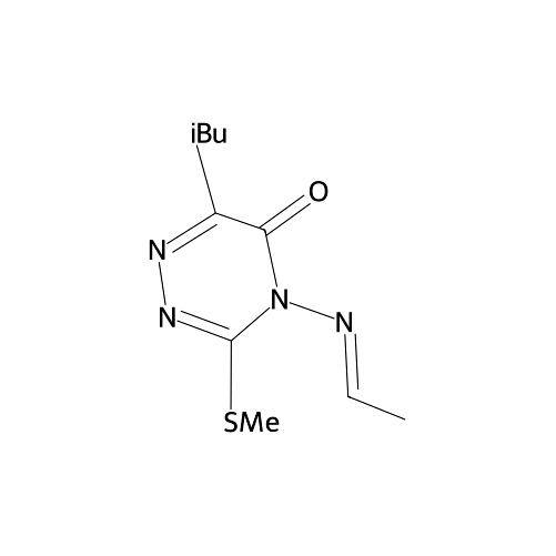 CC=Nn1c(SC)nnc(C(C)CC)c1=O